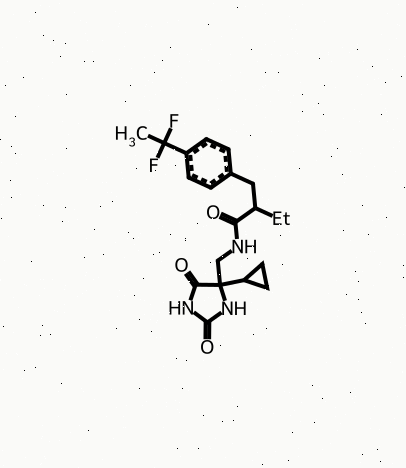 CCC(Cc1ccc(C(C)(F)F)cc1)C(=O)NCC1(C2CC2)NC(=O)NC1=O